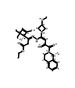 CCOC(=O)CC(=NN/C(=C\C(=N)C(=O)N1CCc2ccccc2[C@H]1C)N1CC(OC)C1)[C@]1(C)C(F)=CC1(C)C